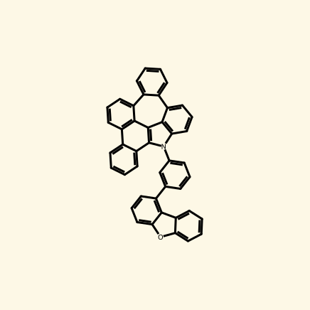 c1cc(-c2cccc3oc4ccccc4c23)cc(-n2c3cccc4c3c3c5c(cccc5c5ccccc5c32)-c2ccccc2-4)c1